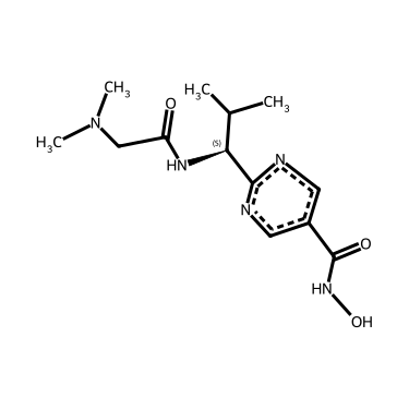 CC(C)[C@H](NC(=O)CN(C)C)c1ncc(C(=O)NO)cn1